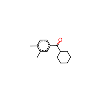 Cc1ccc(C(=O)C2CCCCC2)cc1C